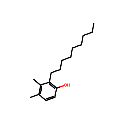 CCCCCCCCCc1c(O)ccc(C)c1C